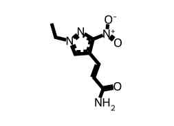 CCn1cc(/C=C/C(N)=O)c([N+](=O)[O-])n1